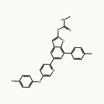 CNC(=O)Oc1cc2cc(-c3ccc(Oc4ccc(F)cc4)cn3)cc(-c3ccc(F)cc3)c2o1